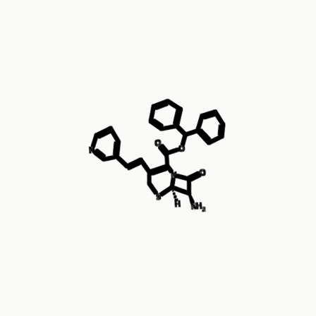 N[C@@H]1C(=O)N2C(C(=O)OC(c3ccccc3)c3ccccc3)=C(/C=C/c3cccnc3)CS[C@H]12